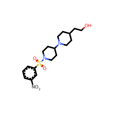 O=[N+]([O-])c1cccc(S(=O)(=O)N2CCC(N3CCC(CCO)CC3)CC2)c1